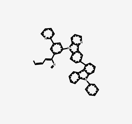 C=N/C(=C\C=C/C)c1cc(-c2ccccn2)cc(-n2c3ccc(-c4cccc5c4c4ccccc4n5-c4ccccc4)cc3c3ncccc32)c1